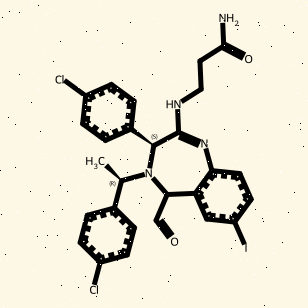 C[C@H](c1ccc(Cl)cc1)N1C(C=O)c2cc(I)ccc2N=C(NCCC(N)=O)[C@@H]1c1ccc(Cl)cc1